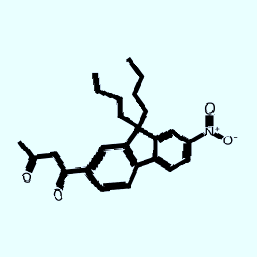 CCCCC1(CCCC)c2cc(C(=O)CC(C)=O)ccc2-c2ccc([N+](=O)[O-])cc21